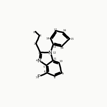 CCCc1nc2c(F)cccc2n1-c1ccccc1